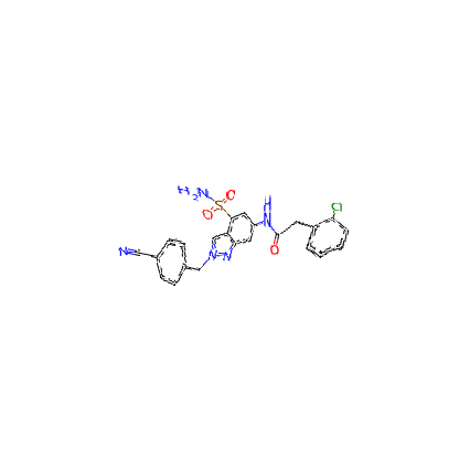 N#Cc1ccc(Cn2cc3c(S(N)(=O)=O)cc(NC(=O)Cc4ccccc4Cl)cc3n2)cc1